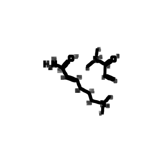 C=CC(=O)N(C)C.CN(C)CCCC=CC(N)=O